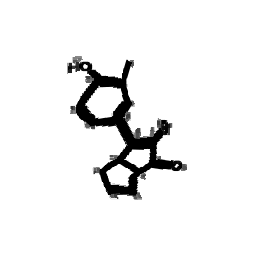 Cc1cc(C2=C(Br)C(=O)C3CCCC23)ccc1O